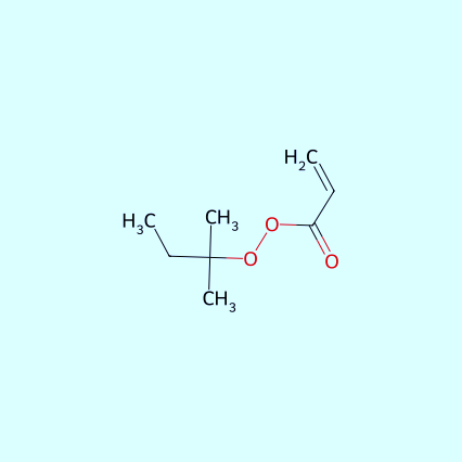 C=CC(=O)OOC(C)(C)CC